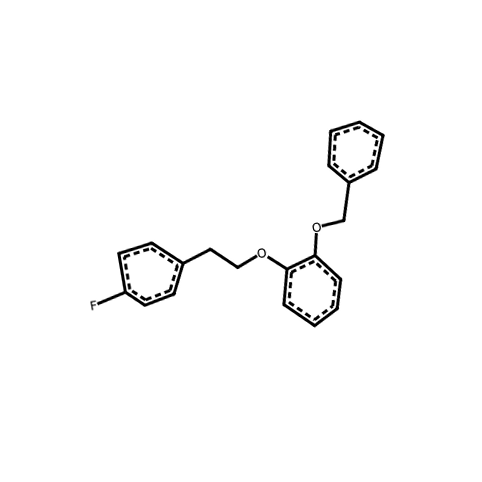 Fc1ccc(CCOc2ccccc2OCc2ccccc2)cc1